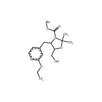 CC(C)(C)OC(=O)N1C(Cc2ccnc(OCC(F)(F)F)c2)C(CO)OC1(C)C